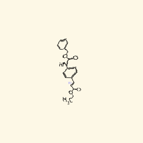 CCOC(=O)/C=C/c1ccc(NC(=O)OCc2ccccc2)cc1